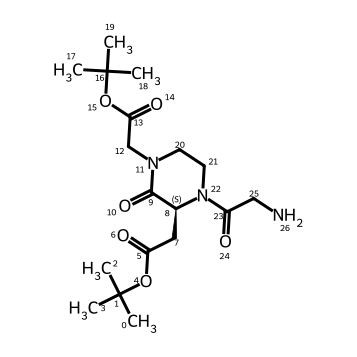 CC(C)(C)OC(=O)C[C@H]1C(=O)N(CC(=O)OC(C)(C)C)CCN1C(=O)CN